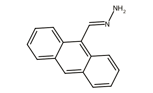 N/N=C/c1c2ccccc2cc2ccccc12